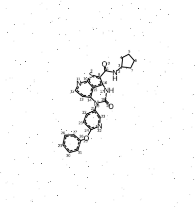 O=C(NC1CCCC1)c1sc2nccc3c2c1NC(=O)N3c1ccc(Oc2ccccc2)nc1